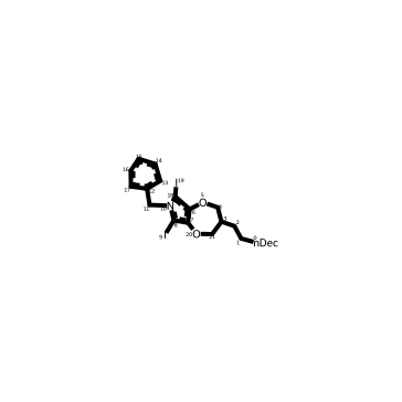 CCCCCCCCCCCCC1COc2c(c(I)n(Cc3ccccc3)c2I)OC1